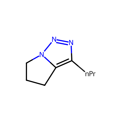 CCCc1nnn2c1CCC2